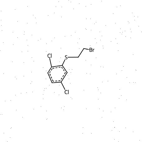 Clc1ccc(Cl)c(SCCBr)c1